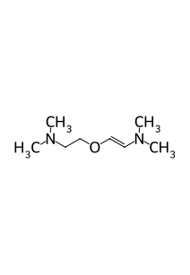 CN(C)/C=C/OCCN(C)C